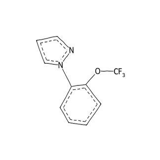 FC(F)(F)Oc1ccccc1-n1cccn1